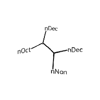 CCCCCCCCCC[C](CCCCCCCC)C(CCCCCCCCC)CCCCCCCCCC